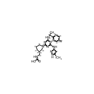 Cc1cc(Nc2nc(N[C@@H](C)c3ncc(F)cn3)nc(N3CCC[C@H](CNC(=O)O)C3)n2)n[nH]1